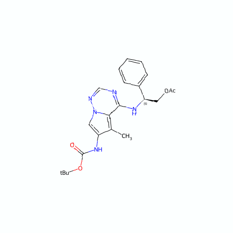 CC(=O)OC[C@@H](Nc1ncnn2cc(NC(=O)OC(C)(C)C)c(C)c12)c1ccccc1